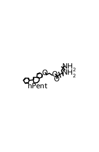 CCCCCc1ccccc1C1=Cc2ccc(OCCCOC(=O)C(C)(C)C(C)(N)CC(C)(C)N)cc2CCC1